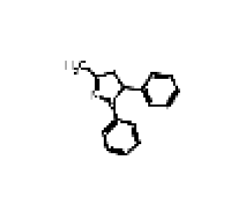 CC1=NN(c2ccccc2)C(c2ccccc2)C1